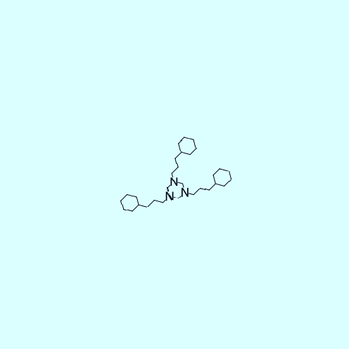 C1CCC(CCCN2CN(CCCC3CCCCC3)CN(CCCC3CCCCC3)C2)CC1